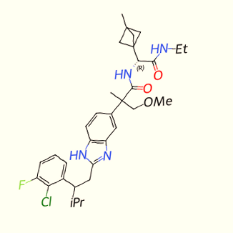 CCNC(=O)[C@H](NC(=O)C(C)(COC)c1ccc2[nH]c(CC(c3cccc(F)c3Cl)C(C)C)nc2c1)C12CC(C)(C1)C2